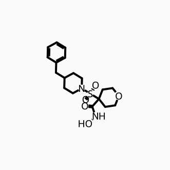 O=C(NO)C1(S(=O)(=O)N2CCC(Cc3ccccc3)CC2)CCOCC1